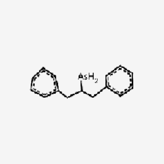 [AsH2]C(Cc1ccccc1)Cc1ccccc1